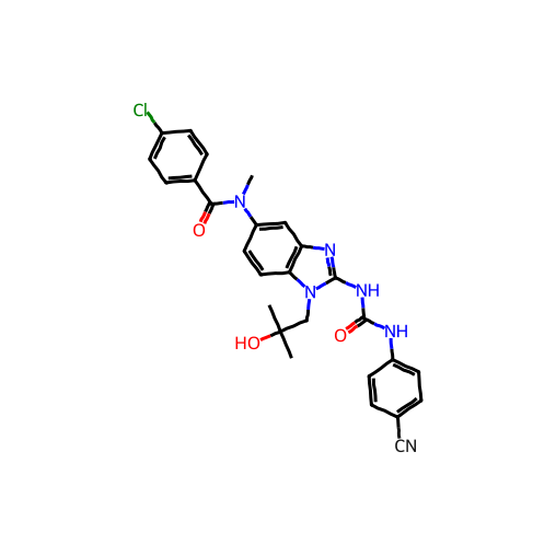 CN(C(=O)c1ccc(Cl)cc1)c1ccc2c(c1)nc(NC(=O)Nc1ccc(C#N)cc1)n2CC(C)(C)O